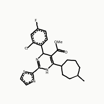 COC(=O)C1=C(C2CCCC(C)CC2)NC(c2nccs2)=NC1c1ccc(F)cc1Cl